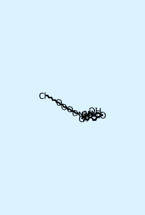 C[C@@H]1CC2C3CCC4=CC(=O)C=C[C@]4(C)[C@@]3(F)[C@@H](O)C[C@]2(C)[C@@]1(O)C(=O)NCCOCCOCCOCCOCCCCCCCl